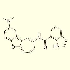 CN(C)C1=CC=c2oc3c(c2C1)C=C(NC(=O)c1cccc2cc[nH]c12)C=CC=3